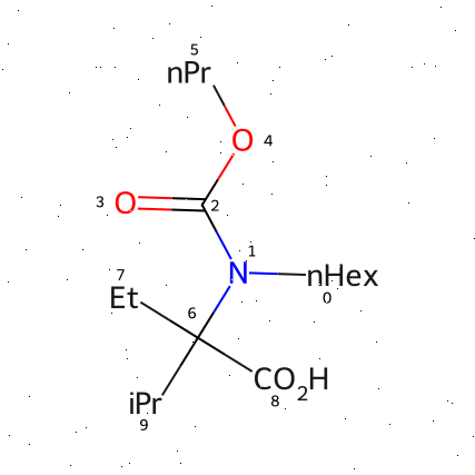 CCCCCCN(C(=O)OCCC)C(CC)(C(=O)O)C(C)C